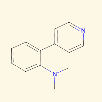 CN(C)c1ccccc1-c1ccncc1